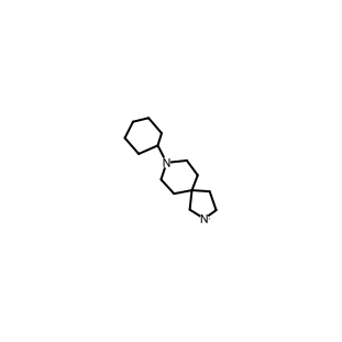 C1CCC(N2CCC3(CC[N]C3)CC2)CC1